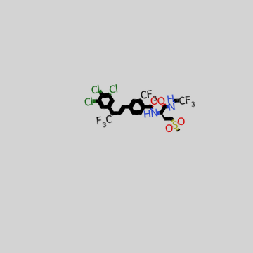 CS(=O)(=O)CC[C@@H](NC(=O)c1ccc(/C=C/C(c2cc(Cl)c(Cl)c(Cl)c2)C(F)(F)F)cc1C(F)(F)F)C(=O)NCC(F)(F)F